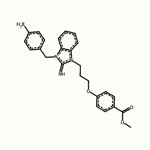 Bc1ccc(Cn2c(=N)n(CCCOc3ccc(C(=O)OC)cc3)c3ccccc32)cc1